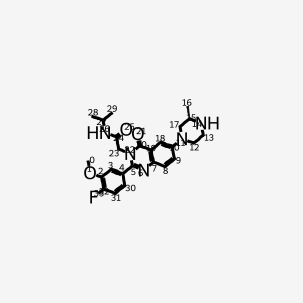 COc1cc(-c2nc3ccc(N4CCN[C@H](C)C4)cc3c(=O)n2CC(=O)NC(C)C)ccc1F